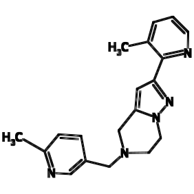 Cc1ccc(CN2CCn3nc(-c4ncccc4C)cc3C2)cn1